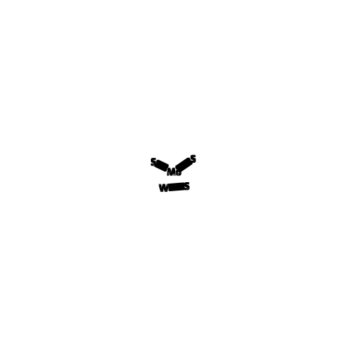 [S]=[Mo]=[S].[S]=[W]